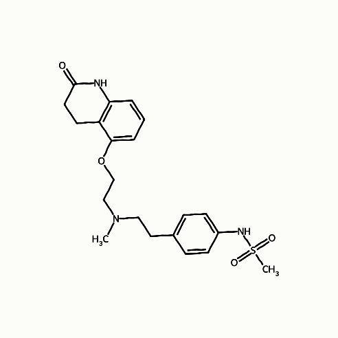 CN(CCOc1cccc2c1CCC(=O)N2)CCc1ccc(NS(C)(=O)=O)cc1